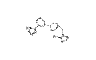 CC(C)c1ncnn1Cc1ccc(-c2cccc(-c3nnn[nH]3)c2)cc1